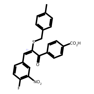 Cc1ccc(CS/C(=C/c2ccc(F)c([N+](=O)[O-])c2)C(=O)c2ccc(C(=O)O)cc2)cc1